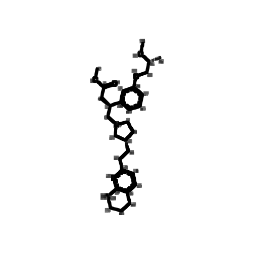 COC(=O)C[C@H](CN1CC[C@@H](CCc2ccc3c(n2)NCCC3)C1)c1cccc(OC[C@@H](C)OC)c1